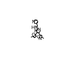 Cc1cc(-c2cnc(NCc3cccnc3)nc2-c2ccc(C)o2)on1